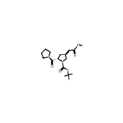 COC(=O)C=C1C[C@@H](C(=O)N2CCCC2)N(C(=O)OC(C)(C)C)C1